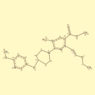 CCO/C=C/c1nc(N2CCC(Oc3ccc(OC)nc3)CC2)c(C)cc1C(=O)OC